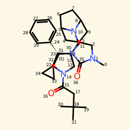 CN1CC2(CC3CCC(C2)N3C[C@H]2CN(C(=O)CC(C)(C)C)C[C@@H]2c2ccccc2)N(CC2CC2)C1=O